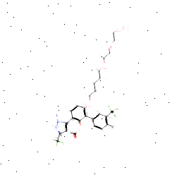 CC(=O)Oc1c(-c2cc(C(F)(F)F)nn2C)ccc(OCCCCCOCCOCCO)c1-c1ccc(Cl)c(C(F)(F)F)c1